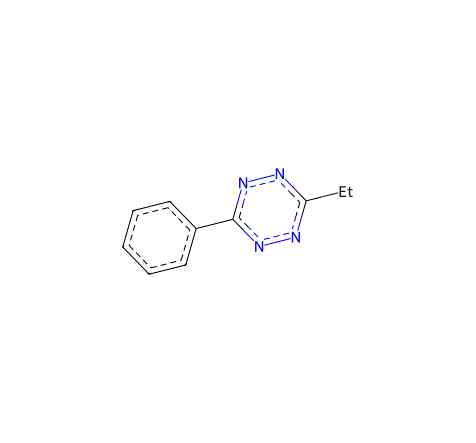 CCc1nnc(-c2ccccc2)nn1